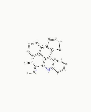 C=C/C(=C\C)c1nc2ccccc2c2c3c(c4ccccc4c12)C=CCC3